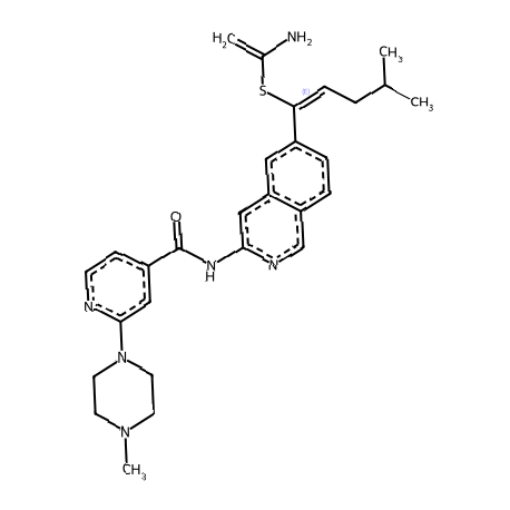 C=C(N)S/C(=C/CC(C)C)c1ccc2cnc(NC(=O)c3ccnc(N4CCN(C)CC4)c3)cc2c1